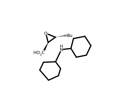 C1CCC(NC2CCCCC2)CC1.CCCC[C@H]1O[C@@H]1C(=O)O